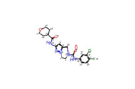 O=C(Nc1cc2n(n1)CCN(C(=O)Nc1ccc(F)c(Cl)c1)C2)C1CCOCC1